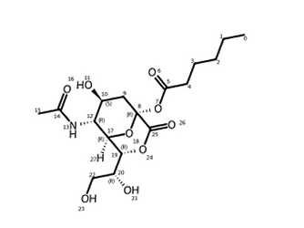 CCCCCC(=O)O[C@@]12C[C@H](O)[C@@H](NC(C)=O)[C@@H](O1)[C@@H]([C@H](O)CO)OC2=O